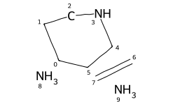 C1CCNCC1.C=C.N.N